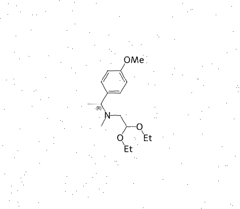 CCOC(CN(C)[C@H](C)c1ccc(OC)cc1)OCC